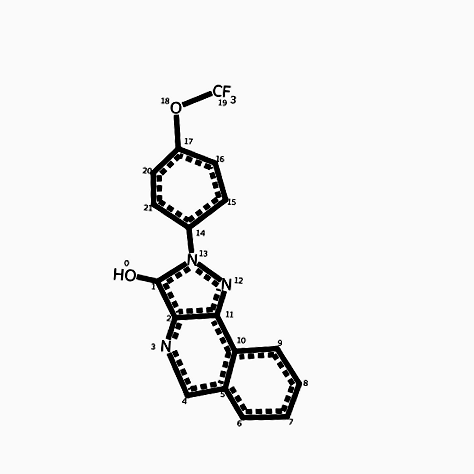 Oc1c2ncc3ccccc3c2nn1-c1ccc(OC(F)(F)F)cc1